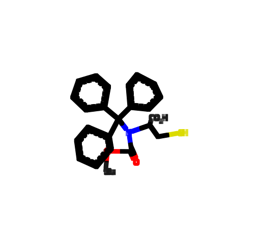 CC(C)(C)OC(=O)N(C(CS)C(=O)O)C(c1ccccc1)(c1ccccc1)c1ccccc1